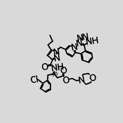 CCCc1cc(C(=O)N[C@@H](CC(=O)OCCN2CCOCC2)Cc2ccccc2Cl)nn1Cc1ccc(-c2ccccc2-c2nnn[nH]2)nc1